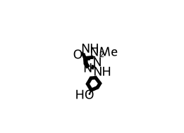 CNc1nc(N[C@H]2CC[C@H](O)CC2)ncc1C(N)=O